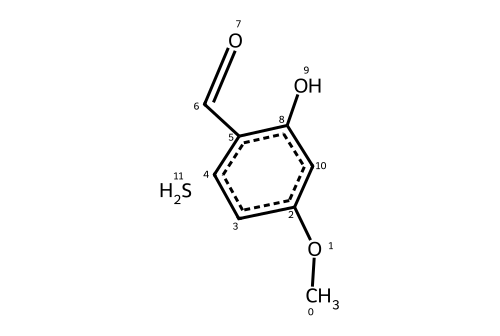 COc1ccc(C=O)c(O)c1.S